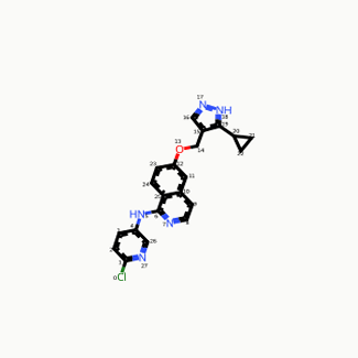 Clc1ccc(Nc2nccc3cc(OCc4cn[nH]c4C4CC4)ccc23)cn1